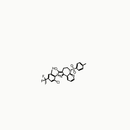 Cc1ccc(S(=O)(=O)N2CCc3c(nn(-c4c(C)cc(C(F)(F)F)cc4Cl)c3O)-c3cccnc32)cc1